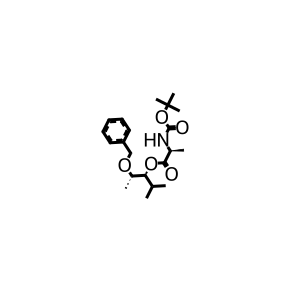 CC(C)[C@@H](OC(=O)[C@H](C)NC(=O)OC(C)(C)C)[C@H](C)OCc1ccccc1